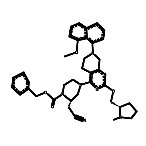 COc1cccc2cccc(N3CCc4c(nc(OC[C@@H]5CCCN5C)nc4N4CCN(C(=O)OCc5ccccc5)[C@@H](CC#N)C4)C3)c12